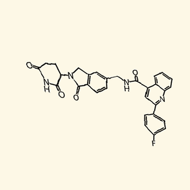 O=C1CCC(N2Cc3cc(CNC(=O)c4cc(-c5ccc(F)cc5)nc5ccccc45)ccc3C2=O)C(=O)N1